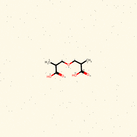 CC(COCC(C)C(=O)O)C(=O)O